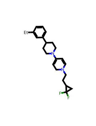 CCc1cccc(C2CCN(C3=CCN(CCC4CC4(F)F)C=C3)CC2)c1